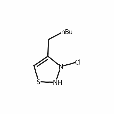 CCCCCC1=CSNN1Cl